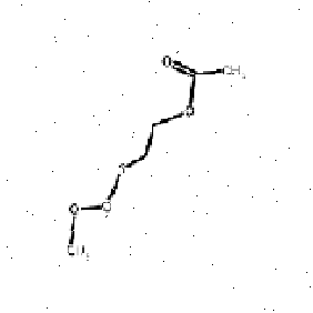 COOSCCOC(C)=O